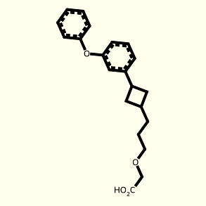 O=C(O)COCCCC1CC(c2cccc(Oc3ccccc3)c2)C1